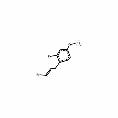 COc1ccc(CC=CBr)c(F)c1